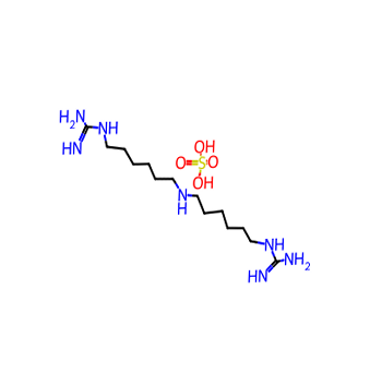 N=C(N)NCCCCCCNCCCCCCNC(=N)N.O=S(=O)(O)O